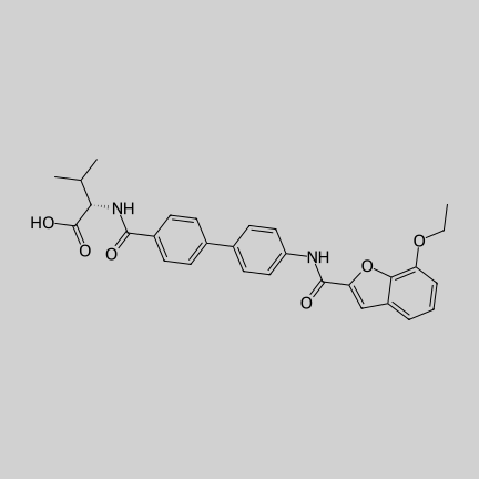 CCOc1cccc2cc(C(=O)Nc3ccc(-c4ccc(C(=O)N[C@H](C(=O)O)C(C)C)cc4)cc3)oc12